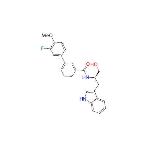 COc1ccc(-c2cccc(C(=O)N[C@@H](CO)Cc3c[nH]c4ccccc34)c2)cc1F